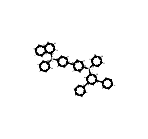 c1ccc(-c2cc(-c3ccccc3)cc(N(c3ccccc3)c3ccc(-c4ccc(N(c5ccccc5)c5cccc6ccccc56)cc4)cc3)c2)cc1